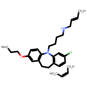 COCCOc1ccc2c(c1)CCc1ccc(Cl)cc1N2CCCCNC/C=C/C(=O)O.O=C(O)/C=C\C(=O)O